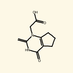 C=C1NC(=O)C2=C(CCC2)N1CC(=O)O